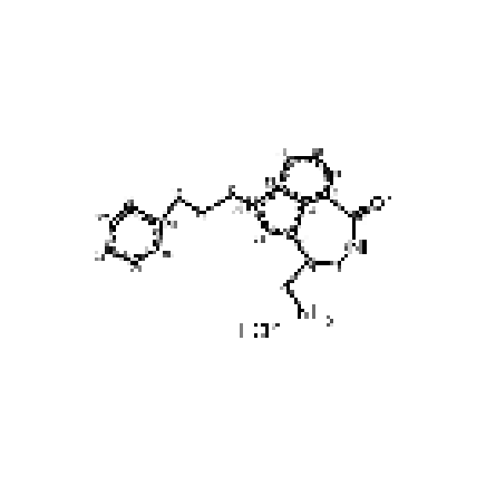 Cl.NCC1CNC(=O)c2cccc3c2c1cn3CCCc1ccccc1